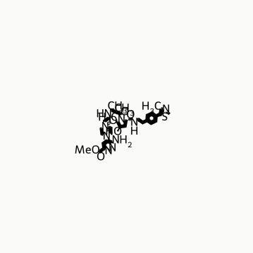 COC(=O)c1cc(N2CCN(CC(=O)N[C@@H](C)C(C)(C)C(=O)N3C[C@H](O)C[C@H]3C(=O)NCCc3ccc(-c4scnc4C)cc3)CC2)c(N)nn1